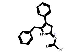 CC(C)C(=O)/N=C1/CC(c2ccccc2)=C(Cc2ccccc2)N1